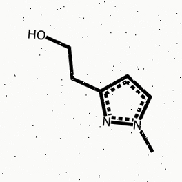 Cn1ccc(CCO)n1